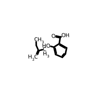 C=C(C)CC.O=C(O)c1ccccc1O